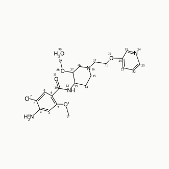 COc1cc(N)c(Cl)cc1C(=O)NC1CCN(CCOc2cccnc2)CC1OC.O